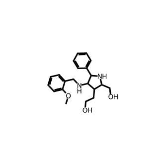 COc1ccccc1CNC1C(c2ccccc2)NC(CO)C1CCO